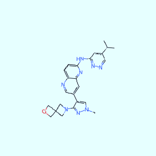 CC(C)c1cnnc(Nc2ccc3ncc(-c4cn(C)nc4N4CC5(COC5)C4)cc3n2)c1